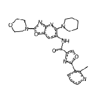 Cc1ncccc1-c1nc(C(=O)Nc2cc3oc(N4CCOCC4)nc3nc2N2CCCCC2)co1